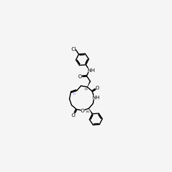 O=C(C[C@@H]1C/C=C/CCC(=O)O[C@H](c2ccccc2)CNC1=O)Nc1ccc(Cl)cc1